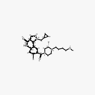 COCCCCN1CCN(C(=O)c2cc3c(cc2C)[nH]c(=O)c2cnn(CC4CC4)c23)C[C@@H]1C